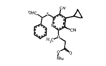 CN(CC(=O)OC(C)(C)C)c1nc(SC(C=O)c2ccccc2)c(C#N)c(C2CC2)c1C#N